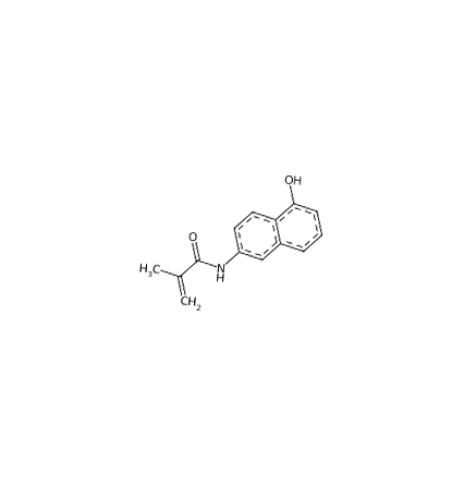 C=C(C)C(=O)Nc1ccc2c(O)cccc2c1